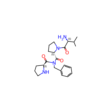 CC(C)[C@H](N)C(=O)N1CCC[C@H]1C(=O)N(Cc1ccccc1)C(=O)[C@@H]1CCCN1